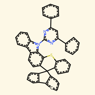 c1ccc(-c2cc(-c3ccccc3)nc(-n3c4ccccc4c4ccc5c(c43)Sc3ccccc3C53c4ccccc4-c4ccccc43)n2)cc1